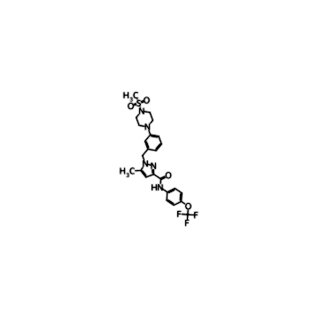 Cc1cc(C(=O)Nc2ccc(OC(F)(F)F)cc2)nn1Cc1cccc(N2CCN(S(C)(=O)=O)CC2)c1